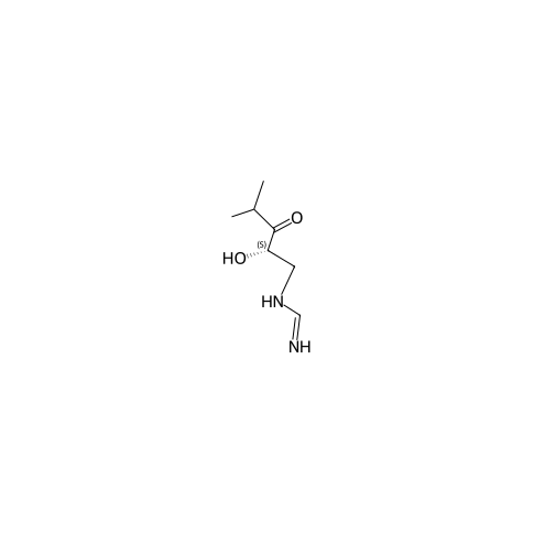 CC(C)C(=O)[C@@H](O)CNC=N